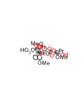 CCC[C@]1([C@@H](CO)OC)CO[C@@H](OC)[C@H](Oc2cc(OC)c3c(c2)O[C@@]2(c4ccc(OC)cc4)[C@H](c4ccccc4)[C@@H](C(=O)O)[C@@H](O)[C@@]32O)O1